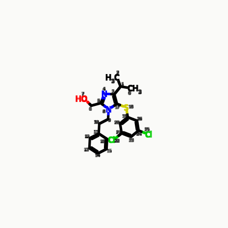 CC(C)c1nc(CO)n(CCc2ccccc2)c1Sc1cc(Cl)cc(Cl)c1